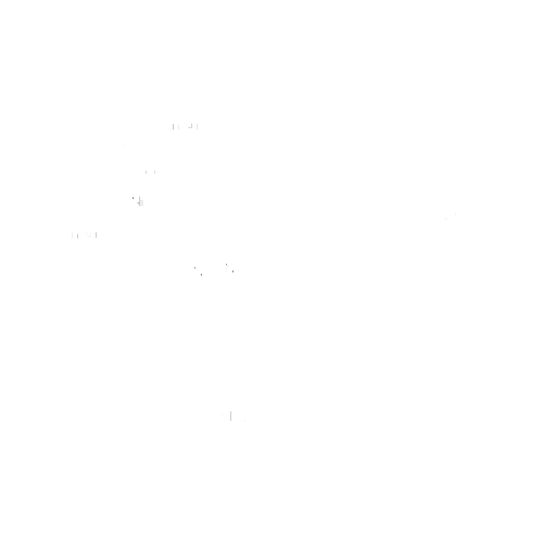 CCCCCCCCCCCCCCCC1=C(c2ccc(CCCC)cc2)[N+](=[N-])C(c2ccc(CCCC)cc2)=C1.CCCC[O][Ni][O]CCCC